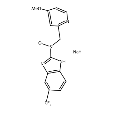 COc1ccnc(C[S+]([O-])c2nc3cc(C(F)(F)F)ccc3[nH]2)c1.[NaH]